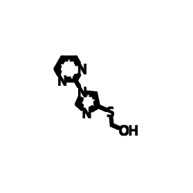 OCSc1cn(-c2ncccn2)cn1